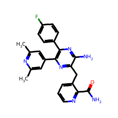 Cc1cc(-c2nc(Cc3cccnc3C(N)=O)c(N)nc2-c2ccc(F)cc2)cc(C)n1